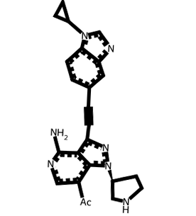 CC(=O)c1cnc(N)c2c(C#Cc3ccc4c(c3)ncn4C3CC3)nn([C@H]3CCNC3)c12